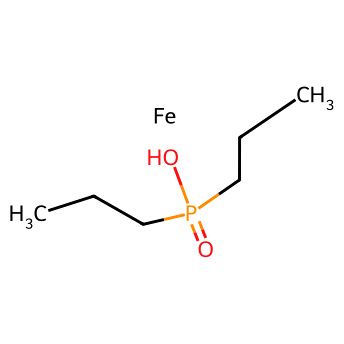 CCCP(=O)(O)CCC.[Fe]